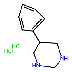 Cl.Cl.c1ccc(C2CNCNC2)cc1